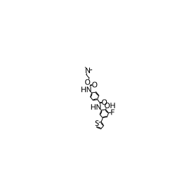 CN(C)CCOC(=O)Nc1ccc(C(=O)Nc2cc(-c3cccs3)cc(F)c2O)cc1